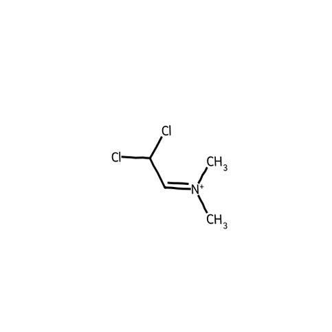 C[N+](C)=CC(Cl)Cl